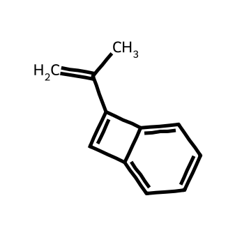 C=C(C)C1=Cc2ccccc21